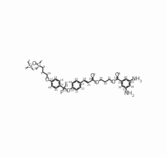 C[Si](C)(C)O[Si](C)(C)CCCOc1ccc(C(F)(F)Oc2ccc(C=CC(=O)OCCCOC(=O)c3cc(N)cc(N)c3)cc2)cc1